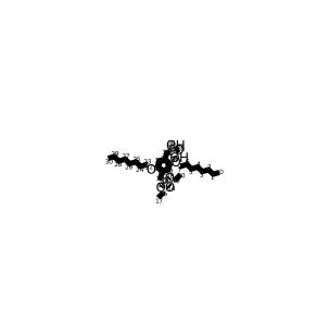 CCCCCCCCOc1cc(CP(=O)(OCC)OCC)c(OCCCCCCCC)cc1CP(=O)(O)O